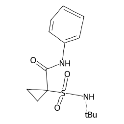 CC(C)(C)NS(=O)(=O)C1(C(=O)Nc2ccccc2)CC1